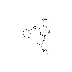 COc1ccc(C=C(C)[N+](=O)[O-])cc1OC1CCCC1